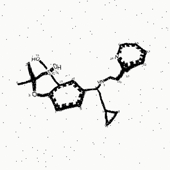 CC1(C)Oc2ccc(C(NCc3ccccn3)C3CC3)cc2S1(O)O